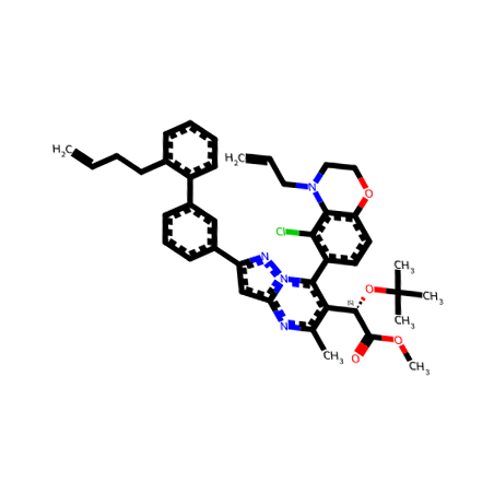 C=CCCc1ccccc1-c1cccc(-c2cc3nc(C)c([C@H](OC(C)(C)C)C(=O)OC)c(-c4ccc5c(c4Cl)N(CC=C)CCO5)n3n2)c1